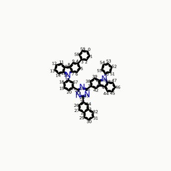 c1ccc(-c2ccc3c(c2)c2ccccc2n3-c2cccc(-c3nc(-c4ccc5ccccc5c4)nc(-c4ccc5c(c4)c4ccccc4n5-c4ccccc4)n3)c2)cc1